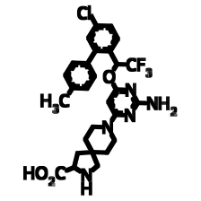 Cc1ccc(-c2cc(Cl)ccc2C(Oc2cc(N3CCC4(CC3)CNC(C(=O)O)C4)nc(N)n2)C(F)(F)F)cc1